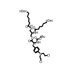 CCCCCCCCCCCCCCCC(=O)NCC(COC(=O)[C@H](Cc1ccc(N(CCCl)CCCl)cc1)NC(=O)OC(C)(C)C)NC(=O)CCCCCCCCCCCCCCC